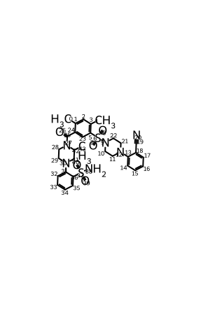 Cc1cc(C)c(S(=O)(=O)N2CCN(c3ccccc3C#N)CC2)cc1C(=O)N1CCN(c2ccccc2S(N)(=O)=O)CC1C